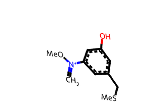 C=[N+](OC)c1cc(O)cc(CSC)c1